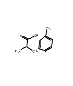 CN(C)C(=O)O.Cc1ccccc1